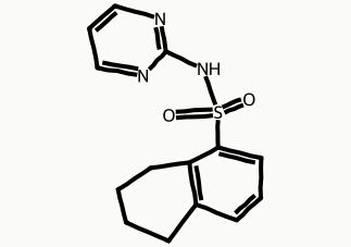 O=S(=O)(Nc1ncccn1)c1cccc2c1CCCC2